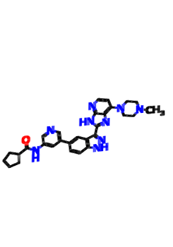 CN1CCN(c2ccnc3[nH]c(-c4n[nH]c5ccc(-c6cncc(NC(=O)C7CCCC7)c6)cc45)nc23)CC1